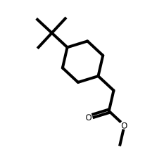 COC(=O)CC1CCC(C(C)(C)C)CC1